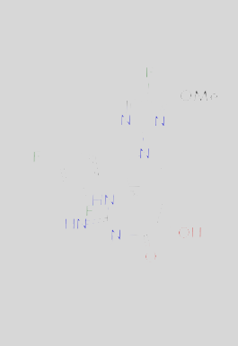 COc1nc(N2CC3CC(O)C(=O)N(C)C(=N)N[C@@]3(c3ccc(F)cc3F)C2)nc(C)c1F